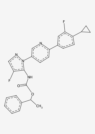 CC(OC(=O)Nc1c(F)cnn1-c1ccc(-c2ccc(C3CC3)c(F)c2)nc1)c1ccccc1